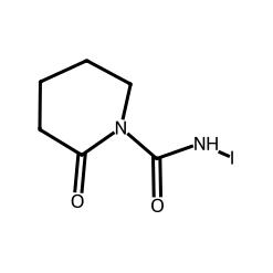 O=C1CCCCN1C(=O)NI